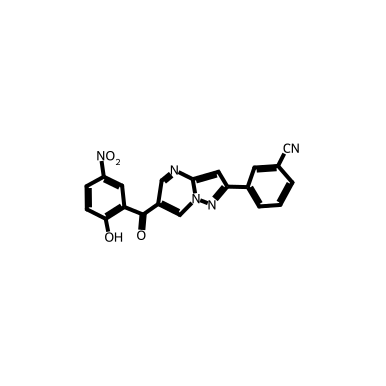 N#Cc1cccc(-c2cc3ncc(C(=O)c4cc([N+](=O)[O-])ccc4O)cn3n2)c1